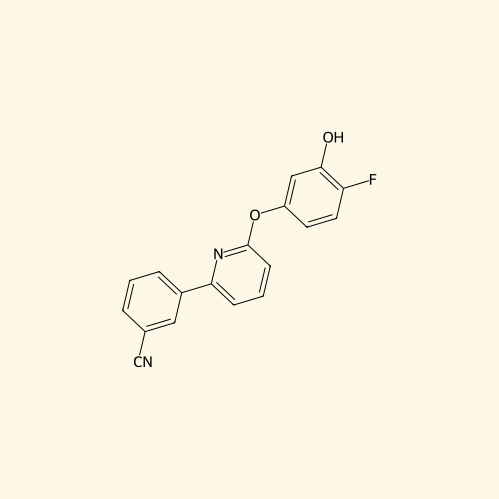 N#Cc1cccc(-c2cccc(Oc3ccc(F)c(O)c3)n2)c1